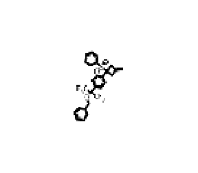 C=C1CC(c2ccc(C(OCc3ccccc3)(C(F)(F)F)C(F)(F)F)cc2)(S(=O)(=O)c2ccccc2)C1